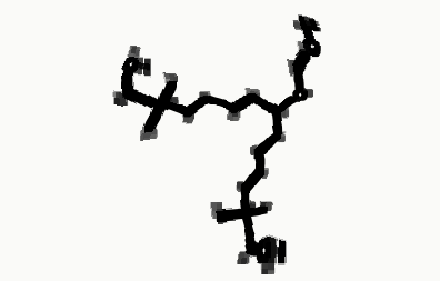 CCOCOC(CCCCC(C)(C)CO)CCCCC(C)(C)CO